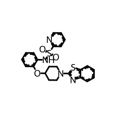 O=S(=O)(Nc1ccccc1OC1CCN(c2nc3ccccc3s2)CC1)c1ccccn1